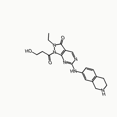 CCn1c(=O)c2cnc(Nc3ccc4c(c3)CNCC4)nc2n1C(=O)CCO